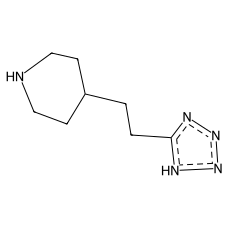 C1CC(CCc2nnn[nH]2)CCN1